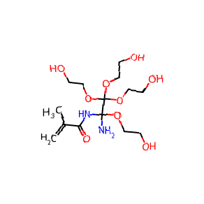 C=C(C)C(=O)NC(N)(OCCO)C(OCCO)(OCCO)OCCO